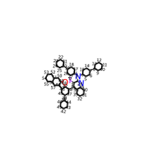 Ic1c(N(c2ccc(-c3ccccc3)cc2)c2ccc(-c3ccccc3)cc2)nc2ccccc2c1-c1cc(-c2ccccc2)cc2c1oc1cc3ccccc3cc12